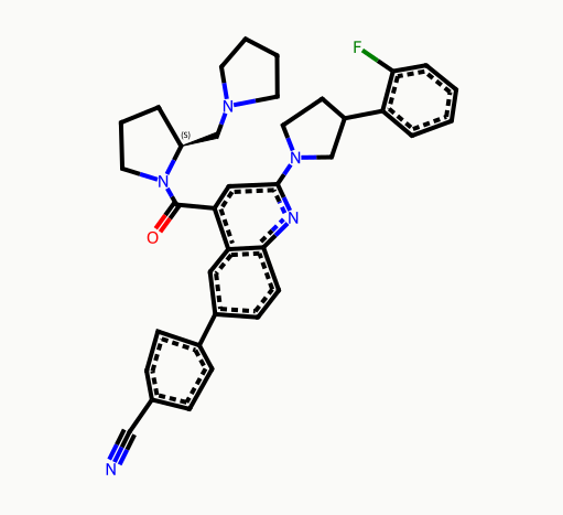 N#Cc1ccc(-c2ccc3nc(N4CCC(c5ccccc5F)C4)cc(C(=O)N4CCC[C@H]4CN4CCCC4)c3c2)cc1